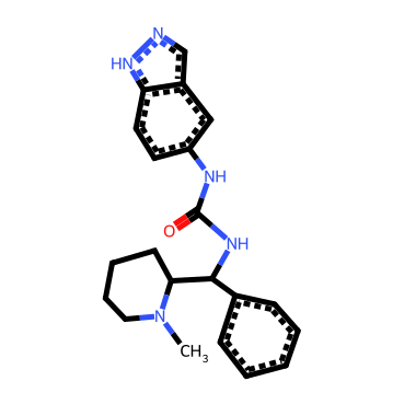 CN1CCCCC1C(NC(=O)Nc1ccc2[nH]ncc2c1)c1ccccc1